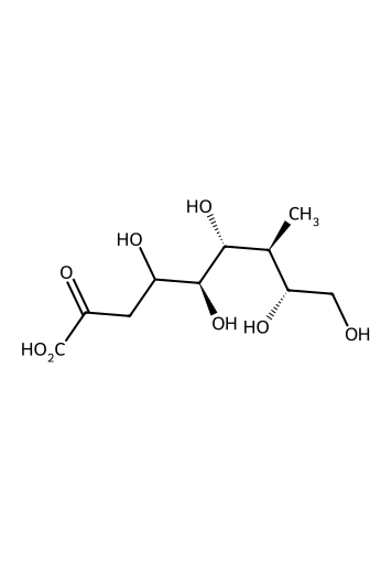 C[C@H]([C@@H](O)[C@@H](O)C(O)CC(=O)C(=O)O)[C@@H](O)CO